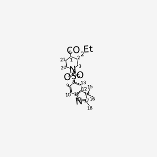 CCOC(=O)C1CCN(S(=O)(=O)c2ccc3c(c2)C(C)(C)C(C)=N3)CC1